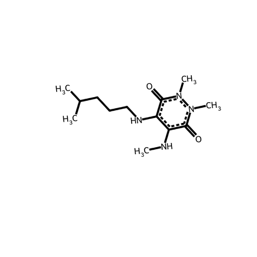 CNc1c(NCCCC(C)C)c(=O)n(C)n(C)c1=O